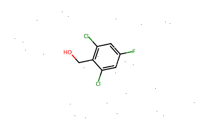 OCc1c(Cl)cc(F)cc1Cl